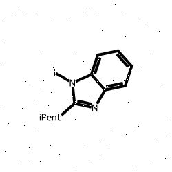 CCCC(C)c1nc2ccccc2n1I